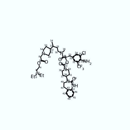 CCN(CC)CCOC(=O)CN1CCC(C(C)CCN(C)C(=O)[C@@H](Cc2cc(Cl)c(N)c(C(F)(F)F)c2)OC(=O)N2CCC(N3CCc4ccccc4NC3=O)CC2)CC1